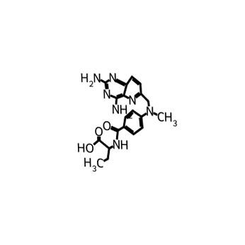 CCC(NC(=O)c1ccc(N(C)Cc2ccc3nc(N)nc(N)c3n2)cc1)C(=O)O